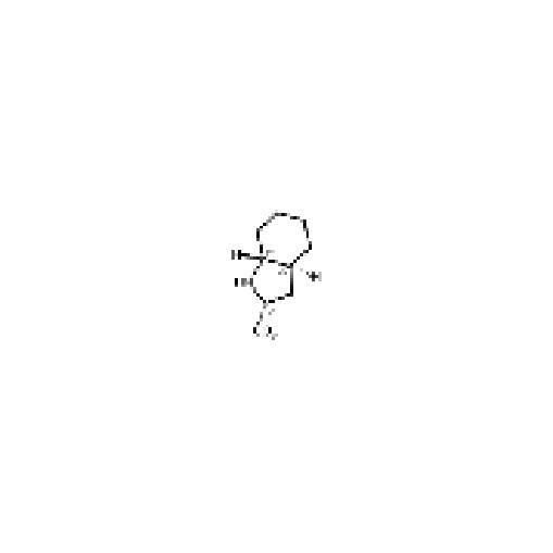 O=C(O)[C@H]1C[C@@H]2CCCC[C@H]2N1